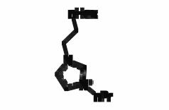 CCCCCCCCn1cc[n+](CCC)c1